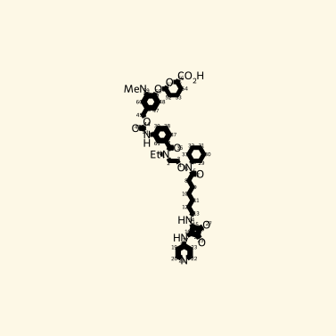 CCN(CCON(C(=O)CCCCCCNc1c(Nc2ccncc2)c(=O)c1=O)C1CCCCC1)C(=O)c1cccc(NC(=O)OCc2ccc(OC3CCCC(C(=O)O)O3)c(NC)c2)c1